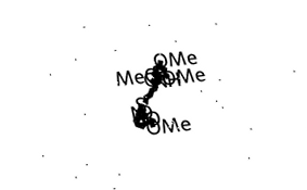 COC(=O)c1cccc2nc(SCCCCCC(=O)Nc3c(OC)cc(OC)cc3OC)oc12